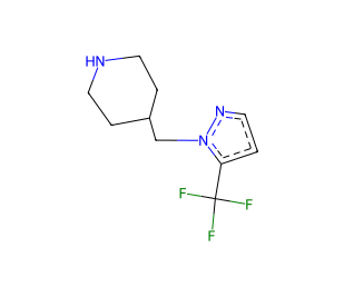 FC(F)(F)c1ccnn1CC1CCNCC1